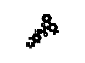 Cc1cc(NC(=O)C(=O)N2CC(C)(C)CCC2c2ccccc2)cnc1N